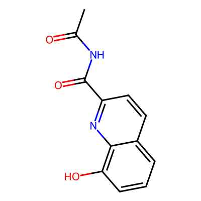 CC(=O)NC(=O)c1ccc2cccc(O)c2n1